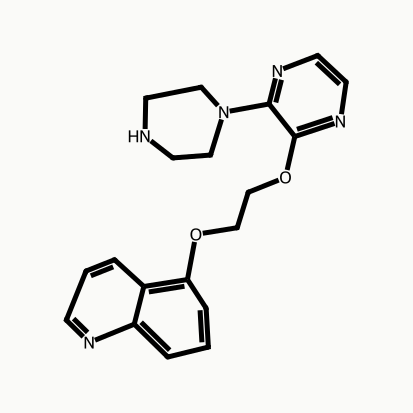 c1cc(OCCOc2nccnc2N2CCNCC2)c2cccnc2c1